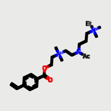 C=Cc1ccc(C(=O)OCC[N+](C)(C)CCN(CCC[N+](C)(C)CC)C(C)=O)cc1